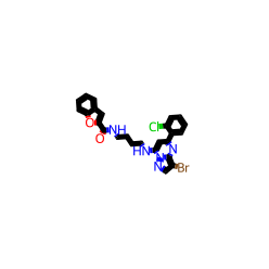 O=C(NCCCCNc1cc(-c2ccccc2Cl)nc2c(Br)cnn12)c1cc2ccccc2o1